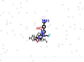 CCC(=O)N1C(C)(C)CC(N(CCCF)c2ccc(-c3ccc(-c4cn[nH]c4)cc3O)nn2)CC1(C)C